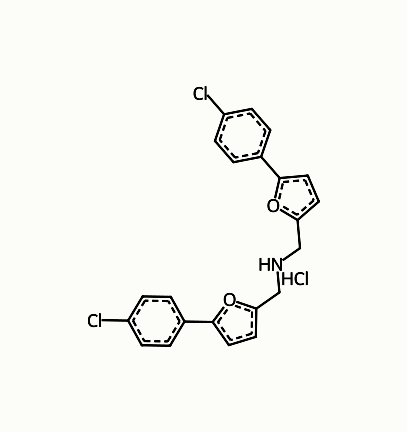 Cl.Clc1ccc(-c2ccc(CNCc3ccc(-c4ccc(Cl)cc4)o3)o2)cc1